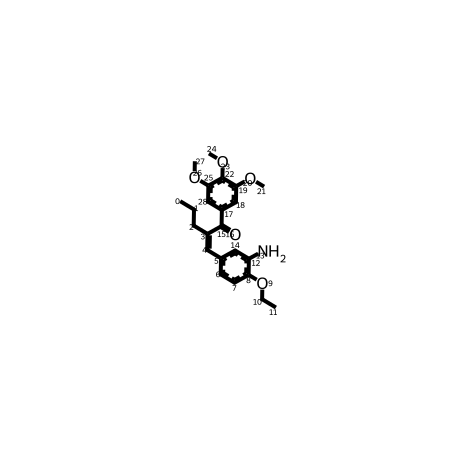 CCCC(=Cc1ccc(OCC)c(N)c1)C(=O)c1cc(OC)c(OC)c(OC)c1